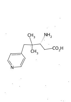 CC(C)(Cc1ccncc1)[C@H](N)CC(=O)O